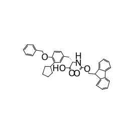 O=C(N[C@@H](Cc1ccc(OCc2ccccc2)c(C2CCCC2)c1)C(=O)O)OCC1c2ccccc2-c2ccccc21